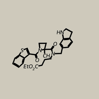 CCOC(=O)CCCN(Cc1ccc2c(c1)NCC2)C(=O)C1(C)CCN1C(=O)c1csc2ccccc12